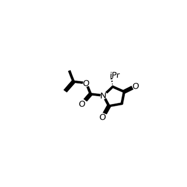 C=C(C)OC(=O)N1C(=O)CC(=O)[C@H]1C(C)C